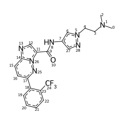 CN(C)CCn1cc(NC(=O)c2cnc3ccc(-c4ccccc4C(F)(F)F)nn23)cn1